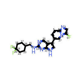 Fc1cnc2ccc(-c3c[nH]c4nc(NCC5CCC(F)(F)CC5)ncc34)cn12